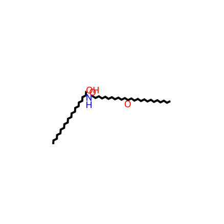 CCCCCCCCCCCCCCCCCCC(CO)NC(=O)CCCCCCCCCCC(=O)CCCCCCCCCCCCC